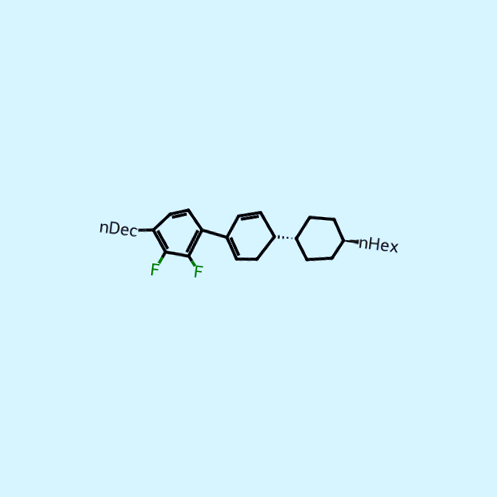 CCCCCCCCCCc1ccc(C2=CCC([C@H]3CC[C@H](CCCCCC)CC3)C=C2)c(F)c1F